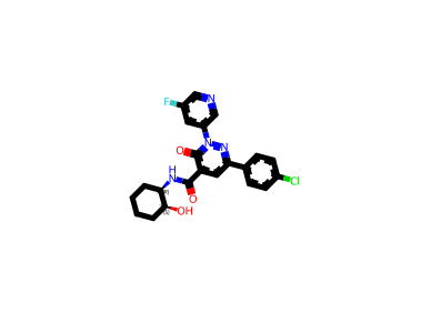 O=C(N[C@@H]1CCCC[C@@H]1O)c1cc(-c2ccc(Cl)cc2)nn(-c2cncc(F)c2)c1=O